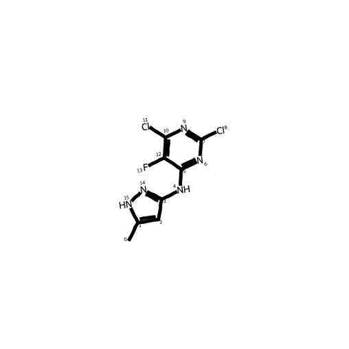 Cc1cc(Nc2nc(Cl)nc(Cl)c2F)n[nH]1